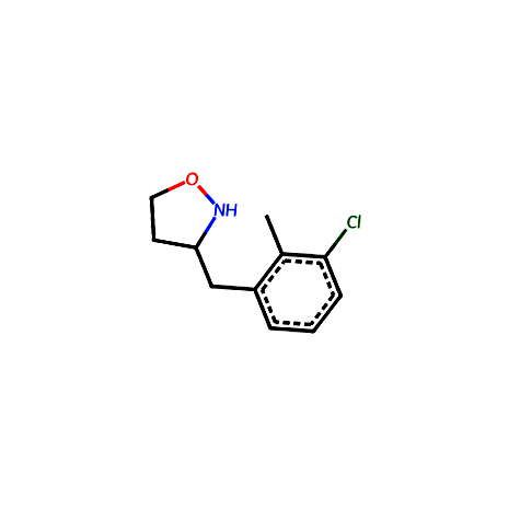 Cc1c(Cl)cccc1CC1CCON1